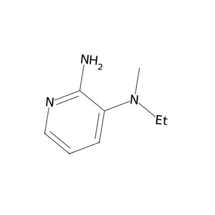 CCN(C)c1cccnc1N